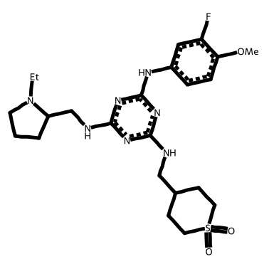 CCN1CCCC1CNc1nc(NCC2CCS(=O)(=O)CC2)nc(Nc2ccc(OC)c(F)c2)n1